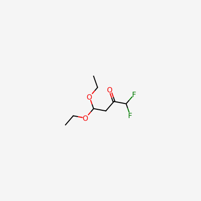 CCOC(CC(=O)C(F)F)OCC